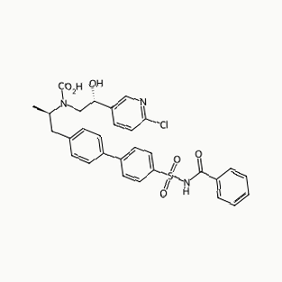 C[C@H](Cc1ccc(-c2ccc(S(=O)(=O)NC(=O)c3ccccc3)cc2)cc1)N(C[C@H](O)c1ccc(Cl)nc1)C(=O)O